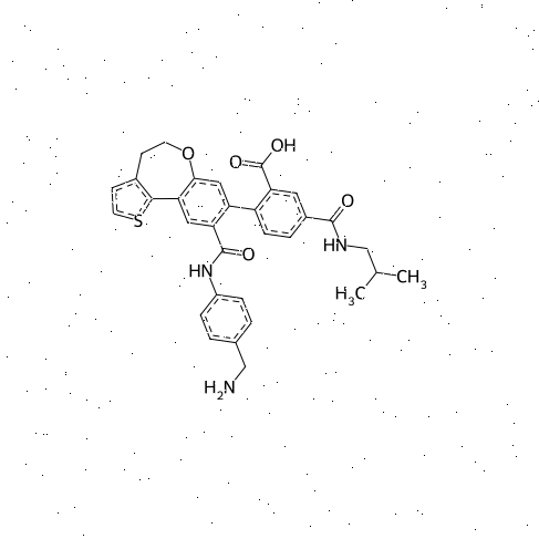 CC(C)CNC(=O)c1ccc(-c2cc3c(cc2C(=O)Nc2ccc(CN)cc2)-c2sccc2CCO3)c(C(=O)O)c1